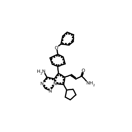 NC(=O)C=Cc1c(-c2ccc(Oc3ccccc3)cc2)c2c(N)ncnn2c1C1CCCC1